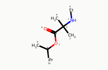 CCNC(C)(C)C(=O)OC(C)C(C)C